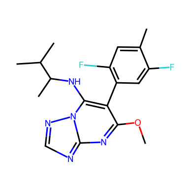 COc1nc2ncnn2c(NC(C)C(C)C)c1-c1cc(F)c(C)cc1F